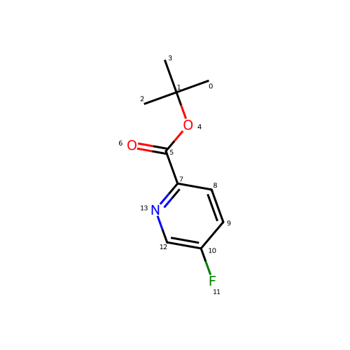 CC(C)(C)OC(=O)c1ccc(F)cn1